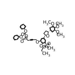 CCCOc1c(OCC#CCN(OC(=O)Oc2ccccc2)C(=O)Oc2ccccc2)cc([C@H]2CC[C@H](c3cc(OC)c(OC)c(OC)c3)O2)cc1S(C)(=O)=O